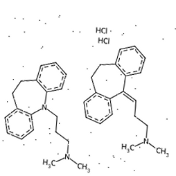 CN(C)CCC=C1c2ccccc2CCc2ccccc21.CN(C)CCCN1c2ccccc2CCc2ccccc21.Cl.Cl